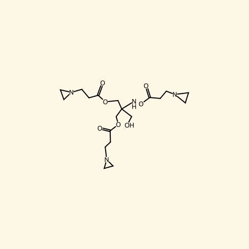 O=C(CCN1CC1)OCC(CO)(COC(=O)CCN1CC1)NOC(=O)CCN1CC1